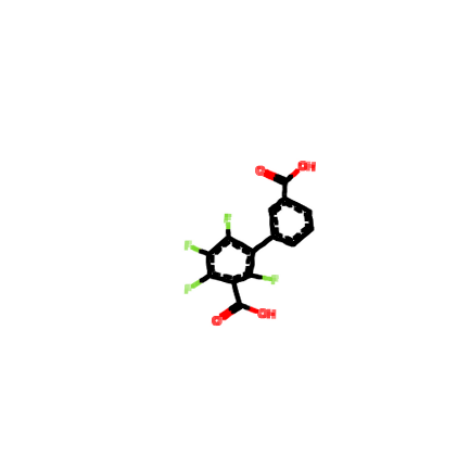 O=C(O)c1cccc(-c2c(F)c(F)c(F)c(C(=O)O)c2F)c1